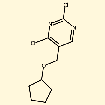 Clc1ncc(COC2CCCC2)c(Cl)n1